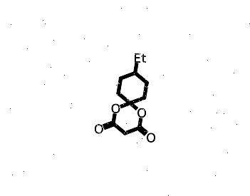 CCC1CCC2(CC1)OC(=O)CC(=O)O2